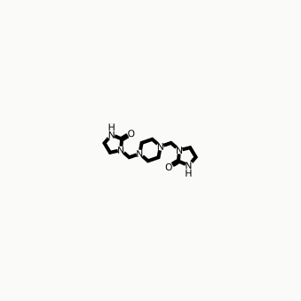 O=C1NCCN1CN1CCN(CN2CCNC2=O)CC1